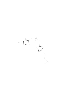 Cc1noc(CC(C)(C)Cc2cn(CCC(C)(C)C)cn2)n1